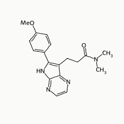 COc1ccc(-c2[nH]c3nccnc3c2CCC(=O)N(C)C)cc1